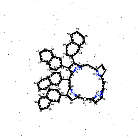 C1=Cc2cc3[nH]c(c(-c4ccc5ccccc5c4)c4nc(cc5ccc(cc1n2)[nH]5)C=C4c1ccc2ccccc2c1)c(-c1ccc2ccccc2c1)c3-c1ccc2ccccc2c1